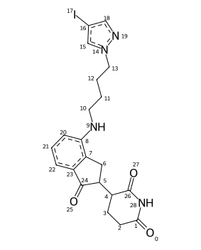 O=C1CCC(C2Cc3c(NCCCCn4cc(I)cn4)cccc3C2=O)C(=O)N1